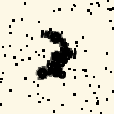 O=C1CC(NC(=O)[C@@H]2CCCN2C(=O)c2nc(CCCc3ccc(O)cc3)c[nH]2)C(OCc2ccccc2)O1